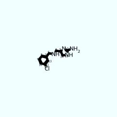 NC1=NC(CNCc2cccc(Cl)c2)CN1